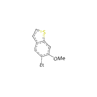 CCc1cc2ccsc2cc1OC